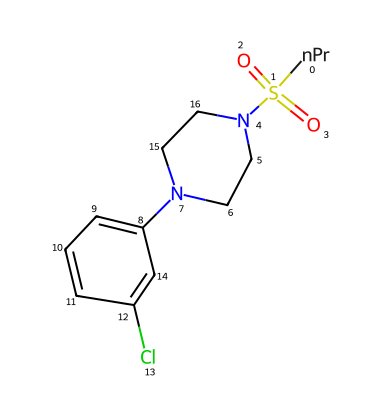 CCCS(=O)(=O)N1CCN(c2cccc(Cl)c2)CC1